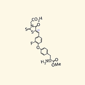 COC(=O)[C@@H](N)Cc1ccc(Oc2ccc(/C=C3\SC(=S)N(CC(=O)O)C3=O)cc2F)cc1